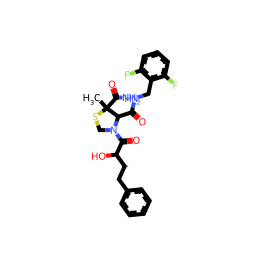 CC1(C(N)=O)SCN(C(=O)C(O)[CH]Cc2ccccc2)C1C(=O)NCc1c(F)cccc1F